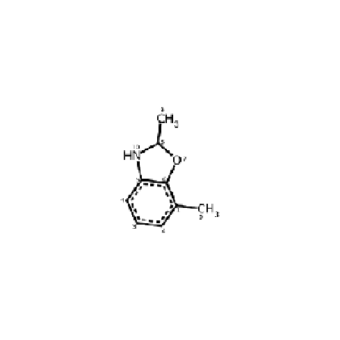 Cc1cccc2c1OC(C)N2